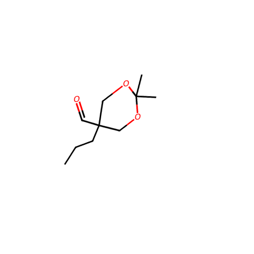 CCCC1(C=O)COC(C)(C)OC1